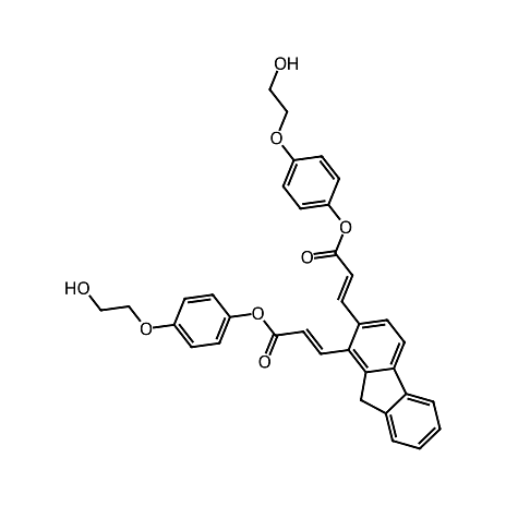 O=C(C=Cc1ccc2c(c1C=CC(=O)Oc1ccc(OCCO)cc1)Cc1ccccc1-2)Oc1ccc(OCCO)cc1